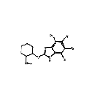 CNC1CCCCC1Nc1nc2c(Br)c(Br)c(Br)c(Br)c2[nH]1